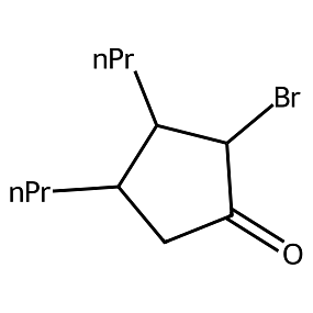 CCCC1CC(=O)C(Br)C1CCC